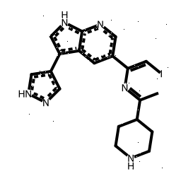 C/C(=N\C(=C/I)c1cnc2[nH]cc(-c3cn[nH]c3)c2c1)C1CCNCC1